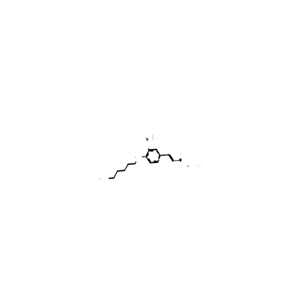 COC(=O)C=Cc1ccc(OCCCCCBr)c(OC)c1